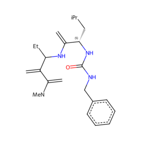 C=C(NC)C(=C)C(CC)NC(=C)[C@H](CC(C)C)NC(=O)NCc1ccccc1